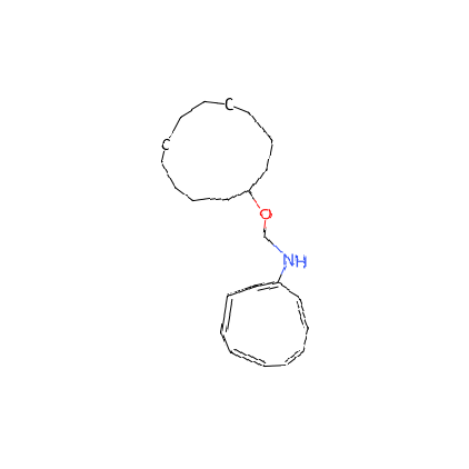 c1ccccc(NCOC2CCCCCCCCCCC2)cccc1